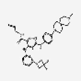 C=CCNC(=O)c1cnc(Nc2ccc(N3CCC4(CCN(C)CC4)CC3)cc2)nc1Nc1cccc(N2CC(F)(F)C2)n1